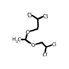 CC(OCC(Cl)Cl)OCC(Cl)Cl